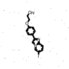 OCCOc1ccc(-c2cn3cc(I)ccc3n2)cc1